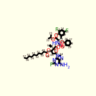 C#C[C@]1(CO[P@@](=O)(N[C@@H](Cc2cc(F)cc(F)c2)C(=O)OC(C)C)Oc2ccccc2)O[C@@H](n2cnc3c(N)nc(F)nc32)C[C@@H]1OC(=O)CCCCCCCCC